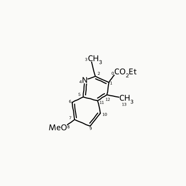 CCOC(=O)c1c(C)nc2cc(OC)ccc2c1C